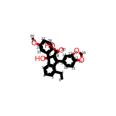 CCc1cccc2c1C(c1ccc3c(c1)OCO3)=C(C(=O)O)C2(O)c1cccc(OC)c1